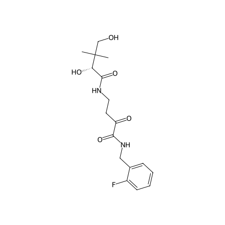 CC(C)(CO)[C@@H](O)C(=O)NCCC(=O)C(=O)NCc1ccccc1F